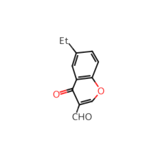 CCc1ccc2occ(C=O)c(=O)c2c1